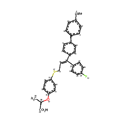 COc1ccc(-c2ccc(C(=CCSc3ccc(OC(C)C(=O)O)cc3)c3ccc(F)cc3)cc2)cc1